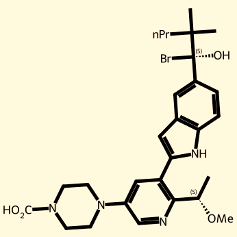 CCCC(C)(C)[C@](O)(Br)c1ccc2[nH]c(-c3cc(N4CCN(C(=O)O)CC4)cnc3[C@H](C)OC)cc2c1